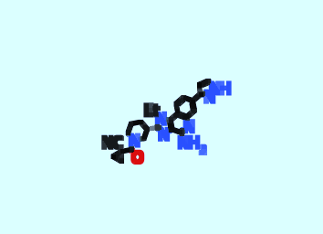 CCn1c([C@H]2CCCN(C(=O)C3(C#N)CC3)C2)nc2c(N)nc3cc(-c4cc[nH]n4)ccc3c21